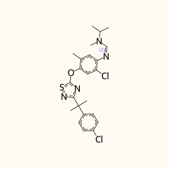 Cc1cc(/N=C\N(C)C(C)C)c(Cl)cc1Oc1nc(C(C)(C)c2ccc(Cl)cc2)ns1